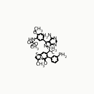 COc1ccc(-c2nn([C@@H](C)c3cc4scc(C)n4c(=O)c3-c3cccc(P)c3)c3ncnc(N)c23)cc1NS(C)(=O)=O